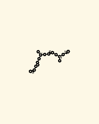 c1ccc(-c2cc(-c3ccc(-c4ccc5c(ccc6cc(-c7ccc8oc9ccccc9c8c7)ccc65)c4)cc3)cc(-c3ccc(-c4ccc5c(c4)oc4ccc(-c6ccc(-c7cc(-c8ccccc8)nc(-c8ccc(-c9cn%10ccccc%10n9)cc8)c7)cc6)cc45)cc3)n2)cc1